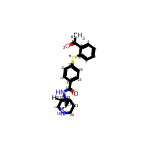 CC(=O)c1ccccc1Sc1ccc(C(=O)N[C@H]2CN3CCC2CC3)cc1